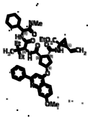 C=C[C@@H]1C[C@]1(NC(=O)[C@@H]1C[C@@H](Oc2cc(-c3ccccc3)nc3cc(OC)ccc23)C[C@H]1C(=O)N[C@H](C(=O)N[C@H](C(=O)NC)C1CCCCC1)C(C)(CC)CC)C(=O)OCC